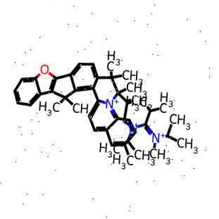 C=C(CN(/C(C(C)C)=[N+](\C)C(C)C)C(C)C)C1(C)[n+]2c(ccc3cc(C)ccc32)-c2c(ccc3c2C(C)(C)c2c-3oc3ccccc23)C1(C)C